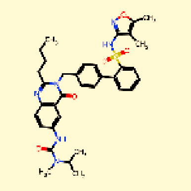 CCCCc1nc2ccc(NC(=O)N(C)C(C)C)cc2c(=O)n1Cc1ccc(-c2ccccc2S(=O)(=O)Nc2noc(C)c2C)cc1